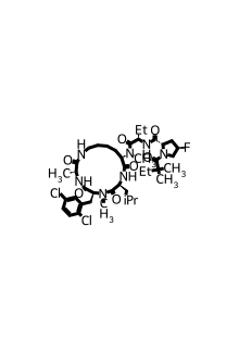 CC[C@H](NC(=O)[C@@H]1C[C@@H](F)CN1C(=O)C(C)(C)CC)C(=O)N(C)[C@H]1CCCCNC(=O)[C@@H](C)NC(=O)[C@H](Cc2cc(Cl)ccc2Cl)N(C)C(=O)[C@H](CC(C)C)NC1=O